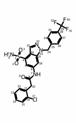 NS(=O)(=O)c1cc(NC(=O)Cc2ccccc2Cl)cc2c1cnn2Cc1ccc(C(F)(F)F)cc1